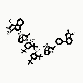 CC(C)(C)c1ccc([O-])c(C(C)(C)C)c1.CC(C)(C)c1ccc([O-])c(C(C)(C)C)c1.CC1=C2C3C(=CC=C3[Si]2(C)C)S1.CC1=C2C3C(=CC=C3[Si]2(C)C)S1.CC1=Cc2c(-c3ccccc3)cccc2[CH]1[Zr].CC1=Cc2c(ccc3ccccc23)[CH]1[Zr].[Cl-]